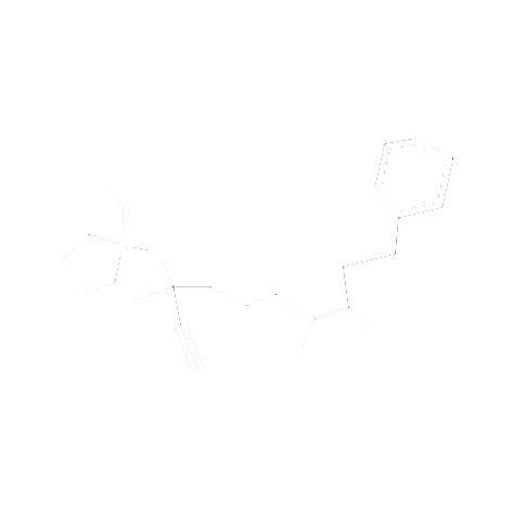 C#CC(C)(CCC=C(C)C(O)CCc1ccccc1)O[Si](CC)(CC)CC